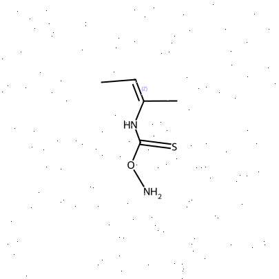 C/C=C(/C)NC(=S)ON